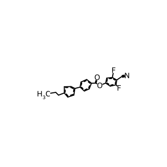 CCCc1ccc(-c2ccc(C(=O)Oc3cc(F)c(C#N)c(F)c3)cc2)cc1